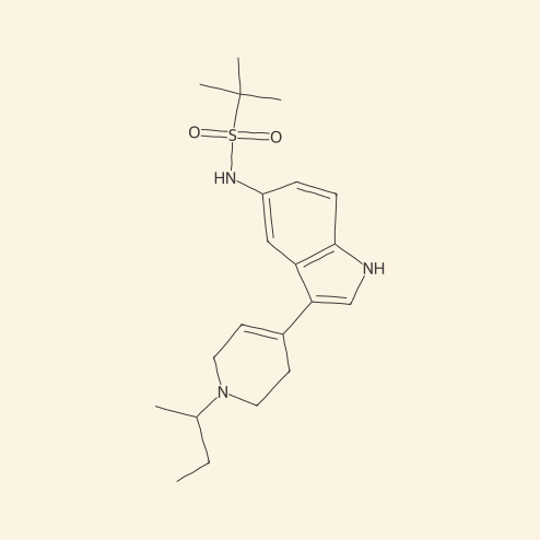 CCC(C)N1CC=C(c2c[nH]c3ccc(NS(=O)(=O)C(C)(C)C)cc23)CC1